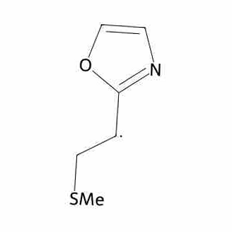 CSC[CH]c1ncco1